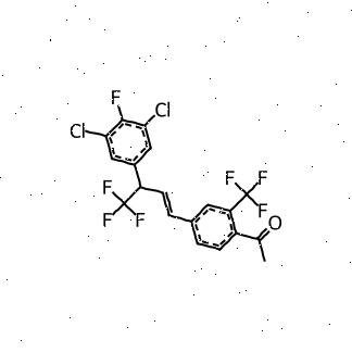 CC(=O)c1ccc(/C=C/C(c2cc(Cl)c(F)c(Cl)c2)C(F)(F)F)cc1C(F)(F)F